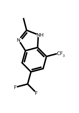 Cc1nc2cc(C(F)F)cc(C(F)(F)F)c2[nH]1